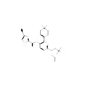 CCC[C@@H](CC(C)(C)O)c1ccc(NC(=O)c2nc(C#N)c[nH]2)c(C2=CCC(C)(C)CC2)n1